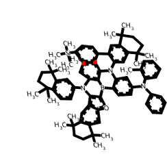 Cc1cc2c3c(c1)N(c1ccc4c(c1)C(C)(C)CCC4(C)C)c1c(oc4cc5c(cc14)C(C)(C)CCC5(C)C)B3c1ccc(N(c3ccccc3)c3ccccc3C)cc1N2c1cc2c(cc1-c1ccc([Si](C)(C)C)cc1)C(C)(C)CCC2(C)C